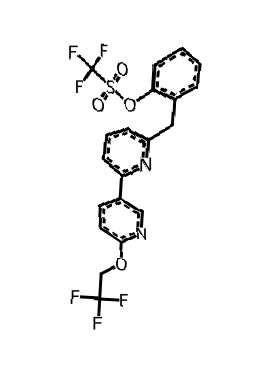 O=S(=O)(Oc1ccccc1Cc1cccc(-c2ccc(OCC(F)(F)F)nc2)n1)C(F)(F)F